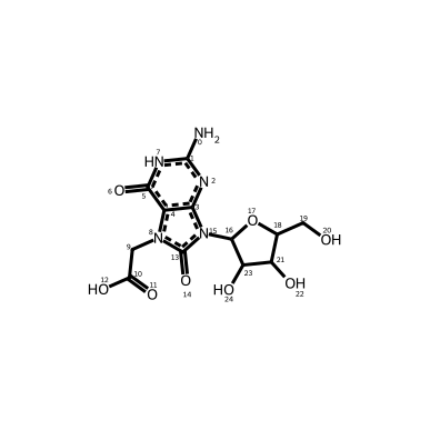 Nc1nc2c(c(=O)[nH]1)n(CC(=O)O)c(=O)n2C1OC(CO)C(O)C1O